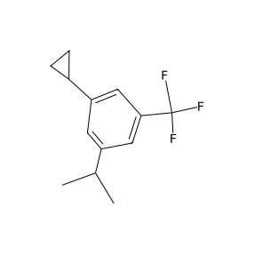 CC(C)c1cc(C2CC2)cc(C(F)(F)F)c1